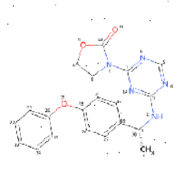 C[C@@H](Nc1ncnc(N2CCOC2=O)n1)c1ccc(Oc2ccccc2)cc1